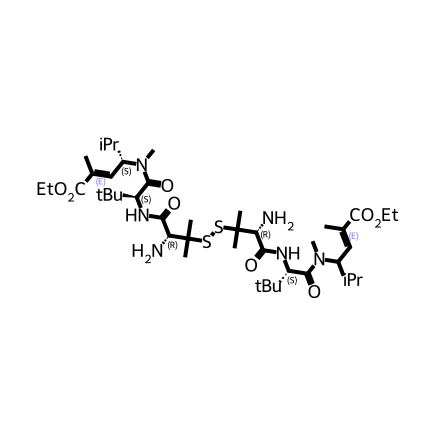 CCOC(=O)/C(C)=C/C(C(C)C)N(C)C(=O)[C@@H](NC(=O)[C@@H](N)C(C)(C)SSC(C)(C)[C@H](N)C(=O)N[C@H](C(=O)N(C)[C@H](/C=C(\C)C(=O)OCC)C(C)C)C(C)(C)C)C(C)(C)C